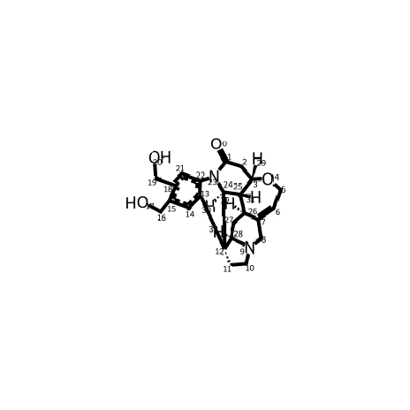 O=C1C[C@@H]2OCC=C3CN4CC[C@]56c7cc(CO)c(CO)cc7N1[C@H]5[C@H]2[C@@H]3C[C@@H]46